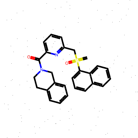 C=S(=O)(Cc1cccc(C(=O)N2CCc3ccccc3C2)n1)c1cccc2ccccc12